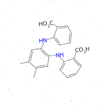 Cc1cc(Nc2ccccc2C(=O)O)c(Nc2ccccc2C(=O)O)cc1C